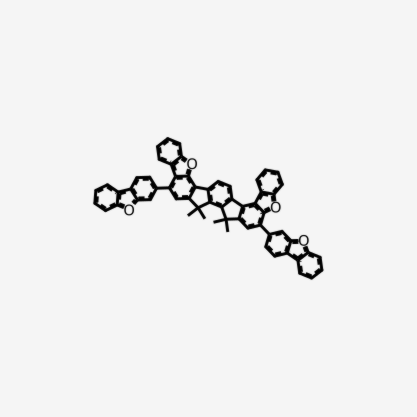 CC1(C)c2cc(-c3ccc4c(c3)oc3ccccc34)c3c(oc4ccccc43)c2-c2ccc3c(c21)C(C)(C)c1cc(-c2ccc4c(c2)oc2ccccc24)c2oc4ccccc4c2c1-3